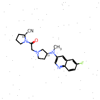 CN(c1cnc2ccc(F)cc2c1)[C@H]1CCN(CC(=O)N2CCC[C@H]2C#N)C1